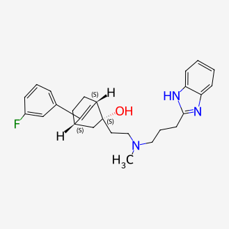 CN(CCCc1nc2ccccc2[nH]1)CC[C@@]1(O)C[C@@H]2CC[C@H]1C=C2c1cccc(F)c1